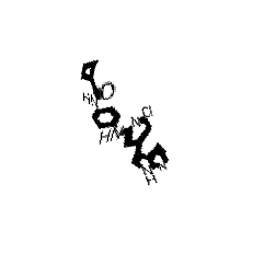 O=C(N[C@H]1CC[C@H](Nc2cc(-c3c[nH]c4ncccc34)cc(Cl)n2)CC1)C1CCC1